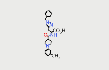 Cc1cccc(N2CCC(C(=O)N[C@@H](Cc3cn(Cc4ccccc4)cn3)C(=O)O)CC2)c1